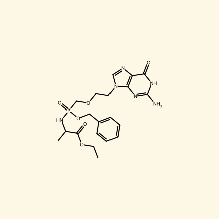 CCOC(=O)C(C)NP(=O)(COCCn1cnc2c(=O)[nH]c(N)nc21)OCc1ccccc1